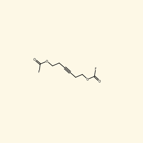 O=C(F)OCCC#CCCOC(=O)F